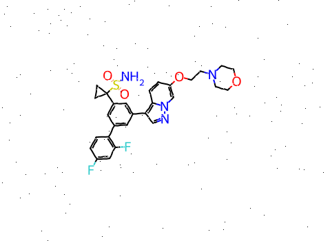 NS(=O)(=O)C1(c2cc(-c3ccc(F)cc3F)cc(-c3cnn4cc(OCCN5CCOCC5)ccc34)c2)CC1